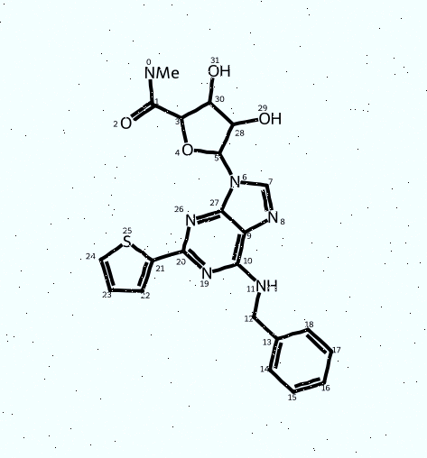 CNC(=O)C1OC(n2cnc3c(NCc4ccccc4)nc(-c4cccs4)nc32)C(O)C1O